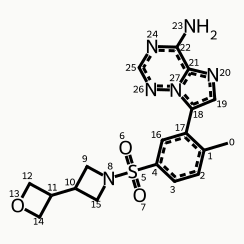 Cc1ccc(S(=O)(=O)N2CC(C3COC3)C2)cc1-c1cnc2c(N)ncnn12